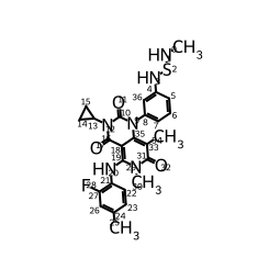 CNSNc1cccc(-n2c(=O)n(C3CC3)c(=O)c3c(Nc4ccc(C)cc4F)n(C)c(=O)c(C)c32)c1